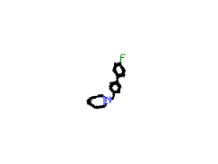 Fc1ccc(-c2ccc(CN3CCCCC3)cc2)cc1